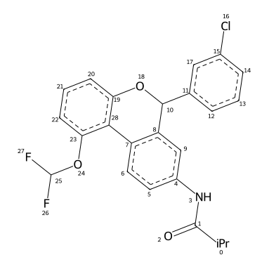 CC(C)C(=O)Nc1ccc2c(c1)C(c1cccc(Cl)c1)Oc1cccc(OC(F)F)c1-2